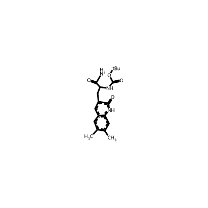 Cc1cc2cc(CC(NC(=O)OC(C)(C)C)C(N)=O)c(=O)[nH]c2cc1C